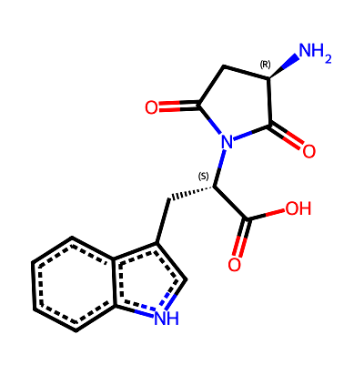 N[C@@H]1CC(=O)N([C@@H](Cc2c[nH]c3ccccc23)C(=O)O)C1=O